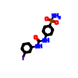 NS(=O)(=O)c1ccc(NC(=O)Nc2cccc(I)c2)cc1